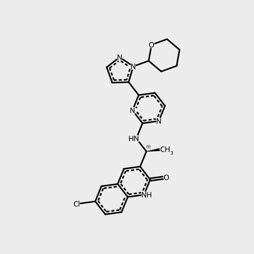 C[C@H](Nc1nccc(-c2ccnn2C2CCCCO2)n1)c1cc2cc(Cl)ccc2[nH]c1=O